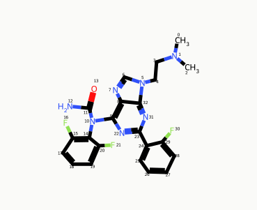 CN(C)CCn1cnc2c(N(C(N)=O)c3c(F)cccc3F)nc(-c3ccccc3F)nc21